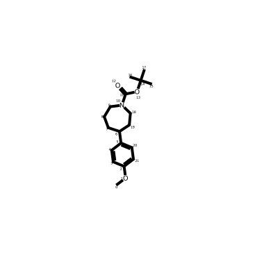 COc1ccc(C2CCCN(C(=O)OC(C)(C)C)CC2)cc1